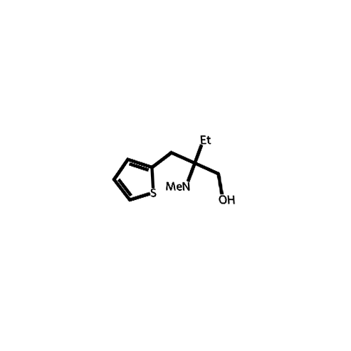 CCC(CO)(Cc1cccs1)NC